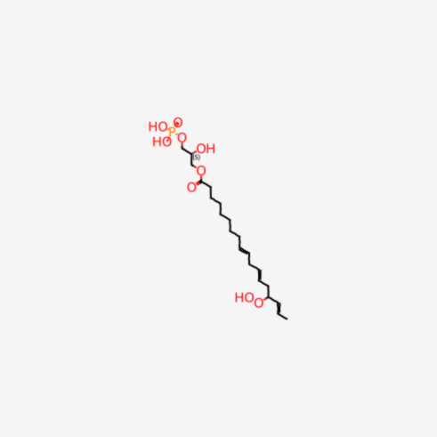 CC=CC(CC=CCC=CCCCCCCCC(=O)OC[C@H](O)COP(=O)(O)O)OO